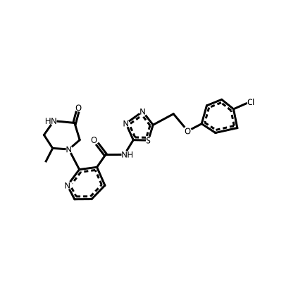 CC1CNC(=O)CN1c1ncccc1C(=O)Nc1nnc(COc2ccc(Cl)cc2)s1